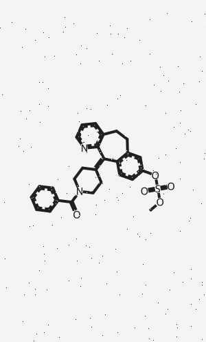 COS(=O)(=O)Oc1ccc2c(c1)CCc1cccnc1C2=C1CCN(C(=O)c2ccccc2)CC1